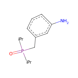 CC(C)P(=O)(Cc1cccc(N)c1)C(C)C